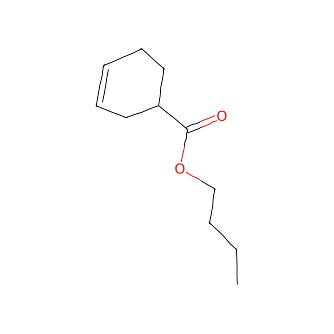 CCCCOC(=O)C1CC=CCC1